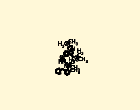 Cc1cccc(CC2CCCCC2)c1-c1nc2nc(c1C)OC[C@@H](CC(C)(C)C)C(Cc1ncc(N(C)C)cn1)c1cccc(c1)S(=O)(=O)N2